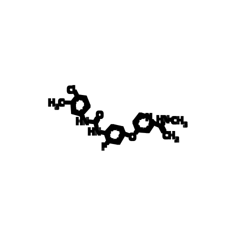 C=C(NC)c1cc(Oc2ccc(NC(=O)Nc3ccc(Cl)c(C)c3)c(F)c2)ccn1